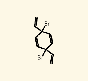 C=CC1(Br)C=CC(Br)(C=C)C=C1